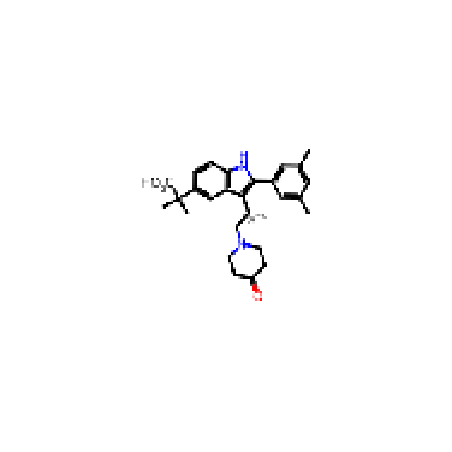 Cc1cc(C)cc(-c2[nH]c3ccc(C(C)(C)C(=O)O)cc3c2[C@H](C)CN2CCC(=O)CC2)c1